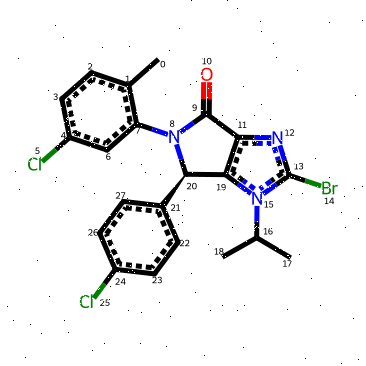 Cc1ccc(Cl)cc1N1C(=O)c2nc(Br)n(C(C)C)c2[C@H]1c1ccc(Cl)cc1